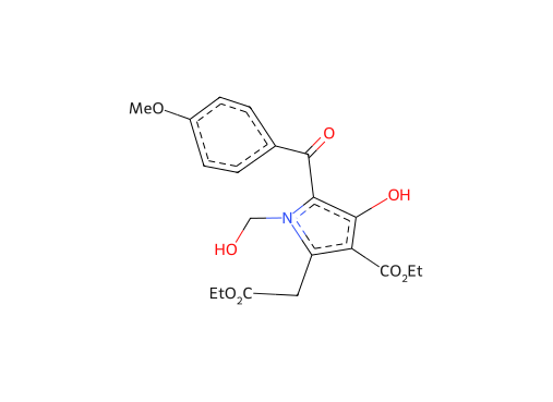 CCOC(=O)Cc1c(C(=O)OCC)c(O)c(C(=O)c2ccc(OC)cc2)n1CO